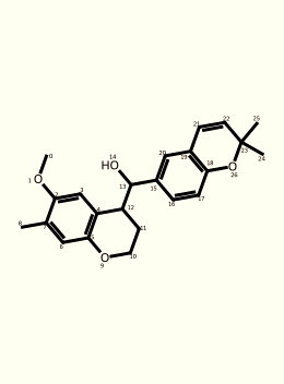 COc1cc2c(cc1C)OCCC2C(O)c1ccc2c(c1)C=CC(C)(C)O2